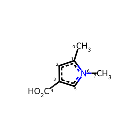 Cc1cc(C(=O)O)cn1C